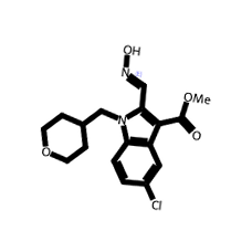 COC(=O)c1c(/C=N/O)n(CC2CCOCC2)c2ccc(Cl)cc12